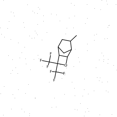 CC1CC2CC1C1OC(C(F)(F)F)(C(F)(F)F)C21